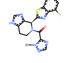 CCn1ncnc1C(=O)N1CCc2[nH]cnc2[C@H]1c1nc2c(F)cccc2s1